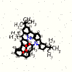 CC(C)(C)c1ccc2c(c1)c1ccc3c4cc(C(C)(C)C)cc5c4n(c3c1n2-c1ccc2ccccc2c1)-c1cc2c(cc1C5(C)C)-c1ccccc1C2(C)C